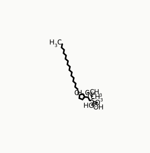 CCCCCCCCCCCCCCCCCCOC1CCC(C(CSP(=O)(O)O)[N+](C)(C)C)C1